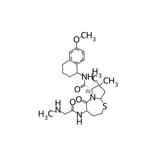 CNCC(=O)NC1CCSC2CC(C)(C)[C@@H](C(=O)NC3CCCc4cc(OC)ccc43)N2C1=O